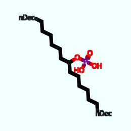 CCCCCCCCCCCCCCCCC(CCCCCCCCCCCCCCCC)OP(=O)(O)O